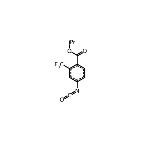 CC(C)OC(=O)c1ccc(N=C=O)cc1C(F)(F)F